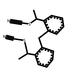 CC(SC#N)c1ccccc1Cc1ccccc1C(C)SC#N